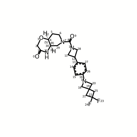 O=C1CO[C@H]2CCN(C(=O)N3CC(c4ccc(N5CC6(C5)CC(F)(F)C6)cc4)C3)C[C@H]2N1